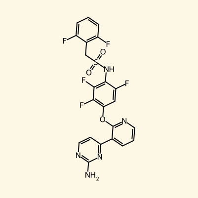 Nc1nccc(-c2cccnc2Oc2cc(F)c(NS(=O)(=O)Cc3c(F)cccc3F)c(F)c2F)n1